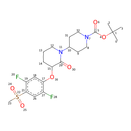 CC(C)(C)OC(=O)N1CCC(N2CCCC(Oc3cc(F)c(S(C)(=O)=O)cc3F)C2=O)CC1